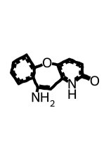 NC1=Cc2[nH]c(=O)ccc2Oc2ccccc21